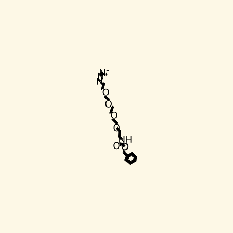 [N-]=[N+]=NCCOCCOCCOCCOCCNC(=O)OCc1ccccc1